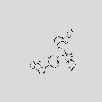 CCc1nc2c(-c3ccc(-c4cccc5c4oc4ccccc45)cc3)cc(-c3cccc4c3oc3ccccc34)cc2s1